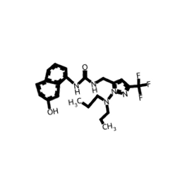 CCCN(CCC)n1nc(C(F)(F)F)cc1CNC(=O)Nc1cccc2ccc(O)cc12